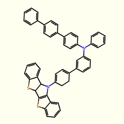 C1=C(c2cccc(N(c3ccccc3)c3ccc(-c4ccc(-c5ccccc5)cc4)cc3)c2)CCC(N2c3c(sc4ccccc34)C3Sc4ccccc4C32)=C1